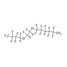 [CH2]C(F)(F)C(F)(F)C(F)(F)C(F)(F)C(F)(F)OC(F)(F)C(F)(F)OC(F)(F)C(F)(F)C(F)(F)C(F)(F)F